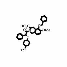 COc1ccc2c(c1OCc1ccccc1)CC(C(=O)O)N(C(=O)[C@@H](OC1CCC(OF)CC1)c1ccccc1)C2